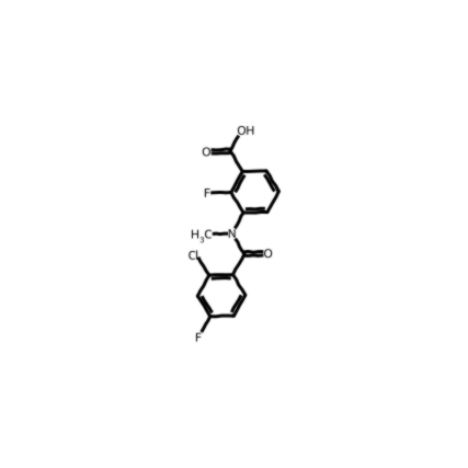 CN(C(=O)c1ccc(F)cc1Cl)c1cccc(C(=O)O)c1F